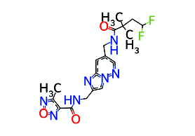 Cc1nonc1C(=O)NCc1cn2ncc(CNC(=O)C(C)(C)CC(F)F)cc2n1